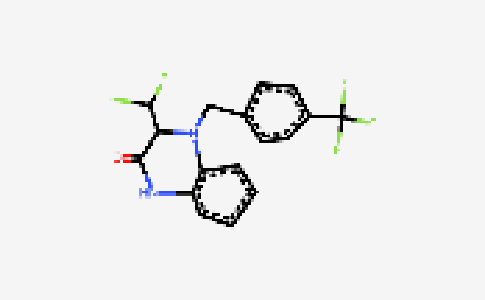 O=C1Nc2ccccc2N(Cc2ccc(C(F)(F)F)cc2)C1C(F)F